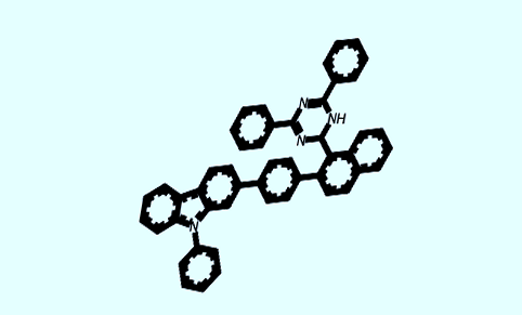 c1ccc(C2=NC(c3c(-c4ccc(-c5ccc6c7ccccc7n(-c7ccccc7)c6c5)cc4)ccc4ccccc34)NC(c3ccccc3)=N2)cc1